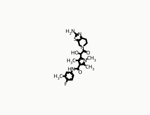 Cc1cc(NC(=O)c2c(C)c(C(O)C(=O)N3CCc4nc(N)sc4C3)n(C)c2C)ccc1F